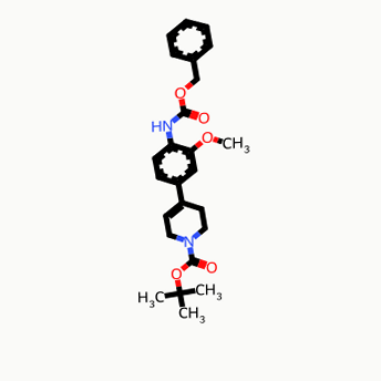 COc1cc(C2=CCN(C(=O)OC(C)(C)C)CC2)ccc1NC(=O)OCc1ccccc1